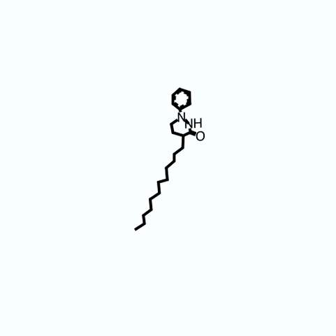 CCCCCCCCCCCCC1CCN(c2ccccc2)NC1=O